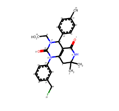 CC1(C)CC2=C(C(=O)N1)C(c1ccc(C#N)cc1)N(CC(=O)O)C(=O)N2c1cccc(CF)c1